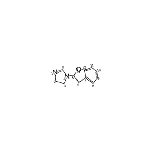 C1=NCCN1C1Cc2ccccc2O1